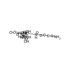 NCCOCCOCCOCCOCCC(=O)NCCCCCCO[C@]1(C(=O)O)C[C@H](O)[C@@H](NC(=O)CO)[C@H]([C@H](O)[C@H](O)CNC(=O)Cc2ccc(Cl)cc2)O1